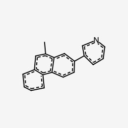 Cc1cc2ccccc2c2ccc(-c3cccnc3)cc12